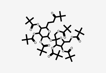 CC(C)(C)C(=O)CCC1OC(OC2(COC(=O)C(C)(C)C)OC(COC(=O)C(C)(C)C)C(OC(=O)C(C)(C)C)C2OC(=O)C(C)(C)C)C(OC(=O)C(C)(C)C)C(OC(=O)C(C)(C)C)C1OC(=O)C(C)(C)C